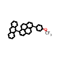 FC(F)(F)Oc1ccc(-c2ccc3ccc4c(-c5c6ccccc6cc6ccccc56)ccc5ccc2c3c54)cc1